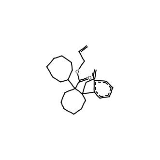 C=CCOC(=O)C1(C2CCCCCCC2)CCCCCCC1(CC=C)c1ccccc1F